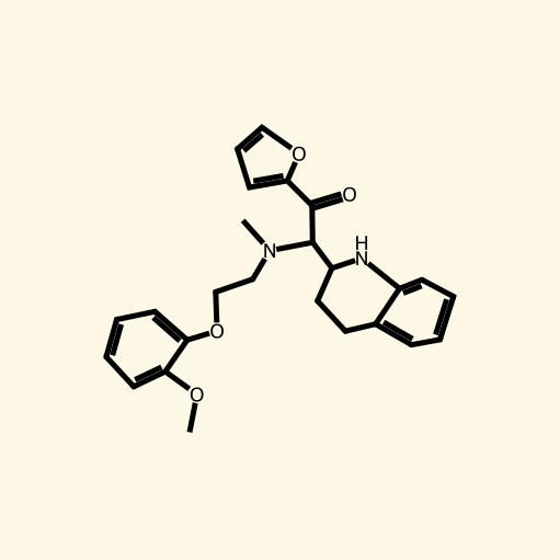 COc1ccccc1OCCN(C)C(C(=O)c1ccco1)C1CCc2ccccc2N1